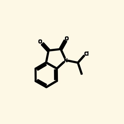 CC(Cl)N1C(=O)C(=O)c2ccccc21